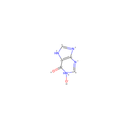 O=C1c2[nH]cnc2N=C[NH+]1[O-]